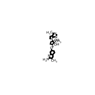 Cc1cc2ccc(OC[C@H]3CC[C@](O)(n4ccc5c(C)ncnc54)[C@]3(C)O)cc2nc1N